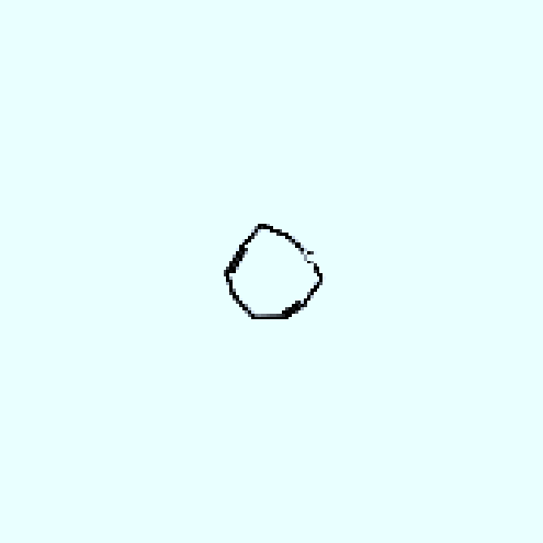 [C]1=CCCCCC=CCC1